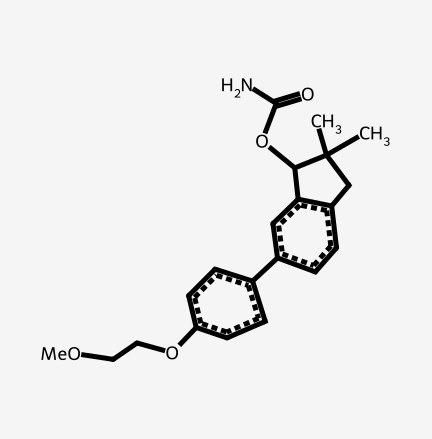 COCCOc1ccc(-c2ccc3c(c2)C(OC(N)=O)C(C)(C)C3)cc1